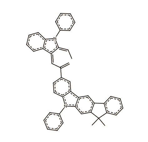 C=C(/C=c1\c(=C/C)n(-c2ccccc2)c2ccccc12)c1ccc2c(c1)c1cc3c(cc1n2-c1ccccc1)C(C)(C)c1ccccc1-3